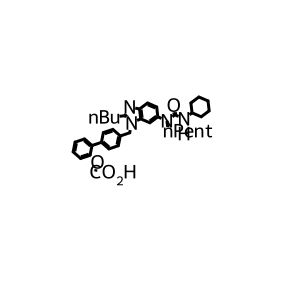 CCCCCN(C(=O)NC1CCCCC1)c1ccc2nc(CCCC)n(Cc3ccc(-c4ccccc4OC(=O)O)cc3)c2c1